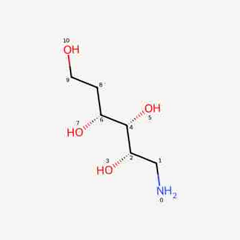 NC[C@H](O)[C@@H](O)[C@H](O)CCO